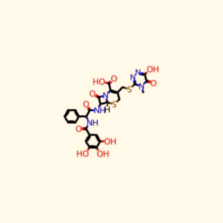 Cn1c(SCC2=C(C(=O)O)N3C(=O)C(NC(=O)C(NC(=O)c4cc(O)c(O)c(O)c4)c4ccccc4)[C@H]3SC2)nnc(O)c1=O